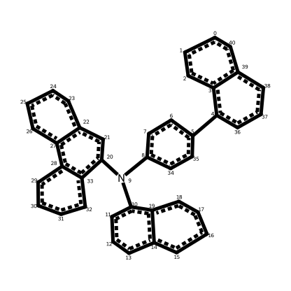 c1ccc2c(-c3ccc(N(c4cccc5ccccc45)c4cc5ccccc5c5ccccc45)cc3)cccc2c1